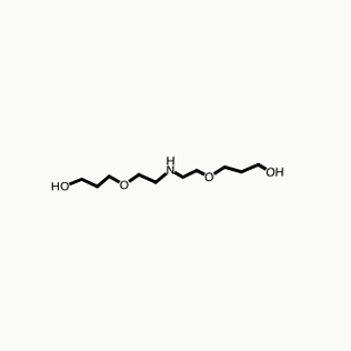 OCCCOCCNCCOCCCO